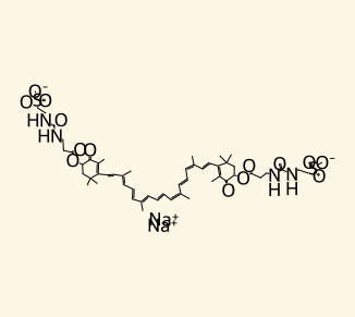 CC(C=CC=C(C)C=CC1=C(C)C(=O)C(OC(=O)CCNC(=O)NCCS(=O)(=O)[O-])CC1(C)C)=CC=CC=C(C)C=CC=C(C)C=CC1=C(C)C(=O)C(OC(=O)CCNC(=O)NCCS(=O)(=O)[O-])CC1(C)C.[Na+].[Na+]